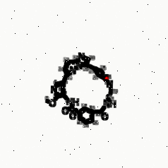 COc1ncc2cc1NS(=O)(=O)c1cccc(c1)C(=O)NCCN1CC=C(CC1)c1cnc3ccc-2nn13